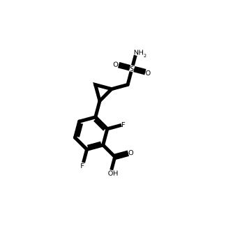 NS(=O)(=O)CC1CC1c1ccc(F)c(C(=O)O)c1F